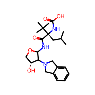 CC(C)C[C@@](NC(=O)O)(C(=O)NC1OC[C@@H](O)C1N1Cc2ccccc2C1)C(C)(C)C